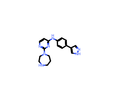 c1cc(Nc2ccc(-c3cn[nH]c3)cc2)nc(N2CCCNCC2)n1